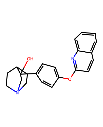 OC1(c2ccc(Oc3ccc4ccccc4n3)cc2)CN2CCC1CC2